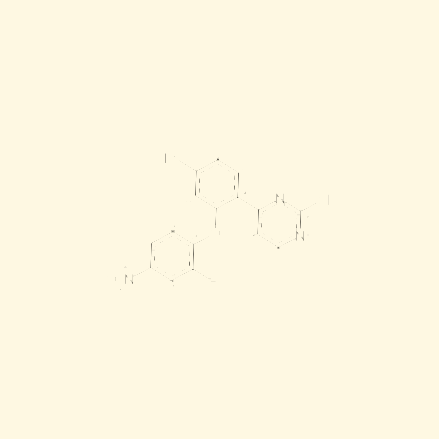 CC(C)c1ccc(-c2ccnc(Cl)n2)c(Oc2ccc([N+](=O)[O-])cc2F)c1